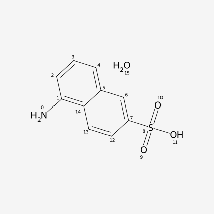 Nc1cccc2cc(S(=O)(=O)O)ccc12.O